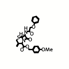 C=C1CS[C@@H]2[C@H](NC(=O)COc3ccccc3)C(=O)N2C1C(=O)OCc1ccc(OC)cc1